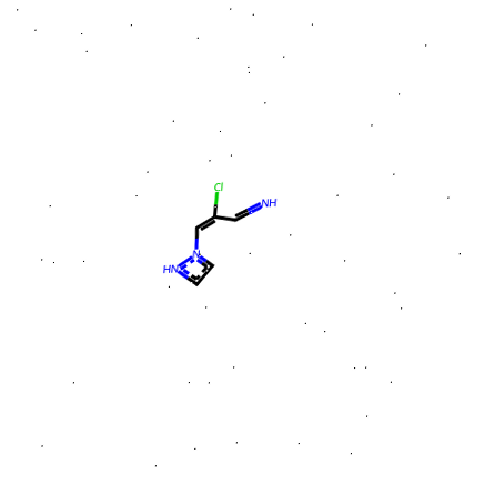 N=C/C(Cl)=C\n1cc[nH]1